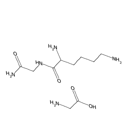 NCC(=O)O.NCCCCC(N)C(=O)NCC(N)=O